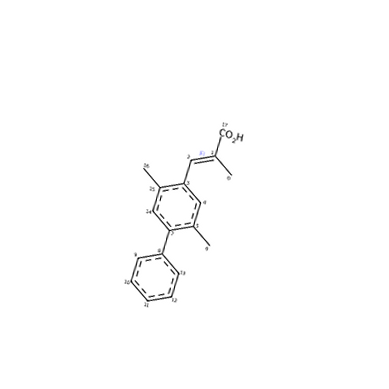 C/C(=C\c1cc(C)c(-c2ccccc2)cc1C)C(=O)O